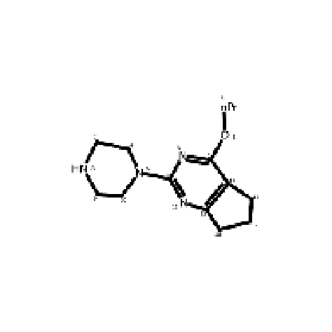 CCCOc1nc(N2CCNCC2)nc2c1CCC2